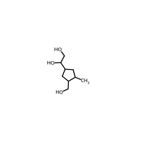 CC1CC(C(O)CO)CC1CO